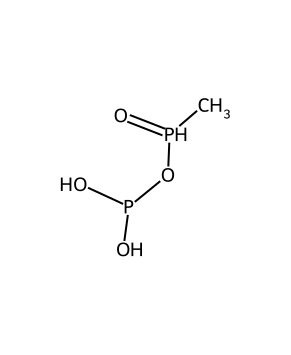 C[PH](=O)OP(O)O